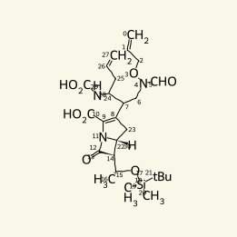 C=CCON(C=O)CC(C1=C(C(=O)O)N2C(=O)[C@H]([C@@H](C)O[Si](C)(C)C(C)(C)C)[C@H]2C1)C(CC=C)NC(=O)O